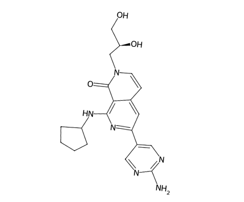 Nc1ncc(-c2cc3ccn(C[C@H](O)CO)c(=O)c3c(NC3CCCC3)n2)cn1